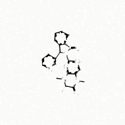 C[C@@H]1C(=O)N(C)c2cnc(N3C(=O)c4ccccc4C3c3cccnc3)nc2N1C